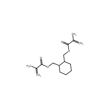 C=C(C)C(=O)OCC1CCCCC1COC(=O)C(=C)C